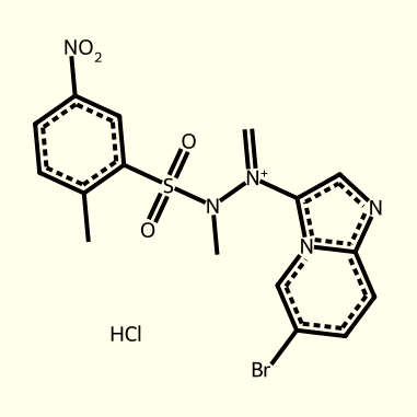 C=[N+](c1cnc2ccc(Br)cn12)N(C)S(=O)(=O)c1cc([N+](=O)[O-])ccc1C.Cl